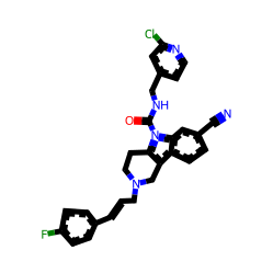 N#Cc1ccc2c3c(n(C(=O)NCc4ccnc(Cl)c4)c2c1)CCN(CC=Cc1ccc(F)cc1)C3